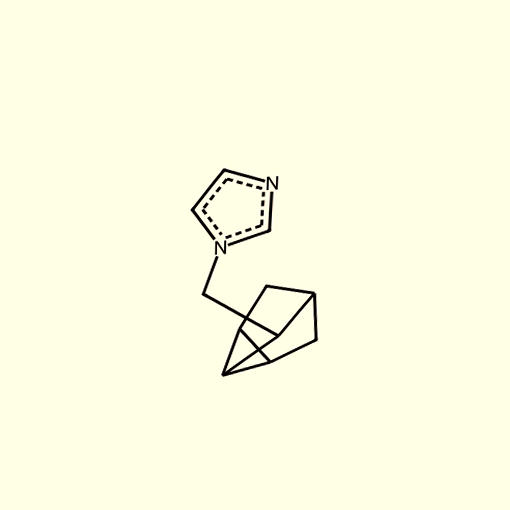 c1cn(CC2C3CC4C(C3)C24)cn1